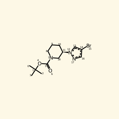 CC(C)(C)OC(=O)N1CCC[C@@H](n2cc(Br)cn2)C1